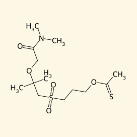 CC(=S)OCCCS(=O)(=O)CC(C)(C)OCC(=O)N(C)C